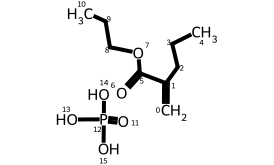 C=C(CCC)C(=O)OCCC.O=P(O)(O)O